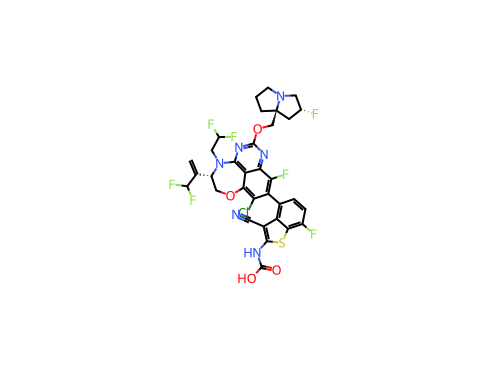 C=C(C(F)F)[C@H]1COc2c(Cl)c(-c3ccc(F)c4sc(NC(=O)O)c(C#N)c34)c(F)c3nc(OC[C@@]45CCCN4C[C@H](F)C5)nc(c23)N1CC(F)F